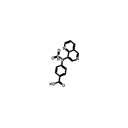 O=C(O)c1ccc(N(c2cncc3cccnc23)[SH](=O)=O)cc1